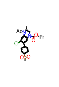 CC(=O)N1c2cc(Cl)c(-c3ccc(S(C)(=O)=O)cc3)cc2N(C(=O)OC(C)C)C[C@@H]1C